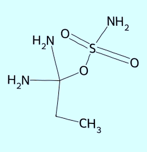 CCC(N)(N)OS(N)(=O)=O